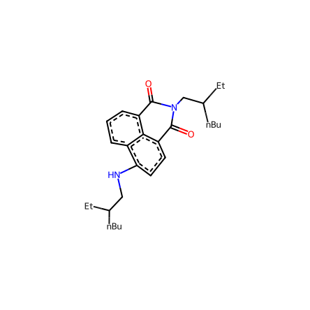 CCCCC(CC)CNc1ccc2c3c(cccc13)C(=O)N(CC(CC)CCCC)C2=O